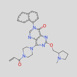 C=CC(=O)N1CCN(c2nc(OCC3CCCN3C)nc3c(=O)n(-c4cccc5ccccc45)cnc23)CC1